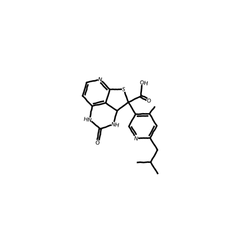 Cc1cc(CC(C)C)ncc1C1(C(=O)O)Sc2nccc3c2C1NC(=O)N3